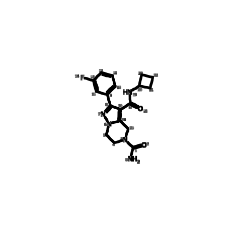 NC(=O)N1CCn2nc(-c3cccc(F)c3)c(C(=O)NC3CCC3)c2C1